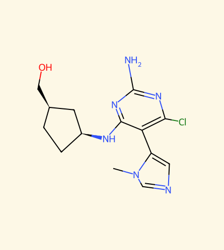 Cn1cncc1-c1c(Cl)nc(N)nc1N[C@H]1CC[C@@H](CO)C1